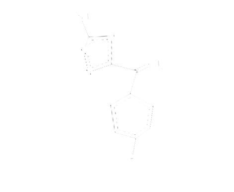 C=C(c1ccc(F)cc1)c1nnc(S)o1